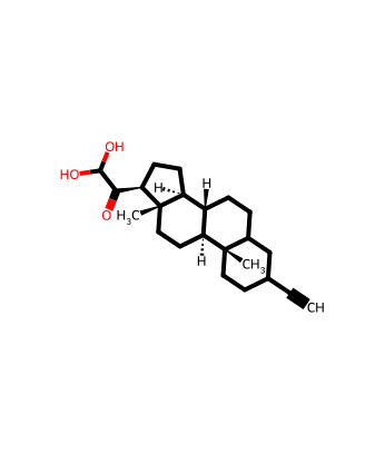 C#CC1CC[C@@]2(C)C(CC[C@H]3[C@@H]4CC[C@H](C(=O)C(O)O)[C@@]4(C)CC[C@@H]32)C1